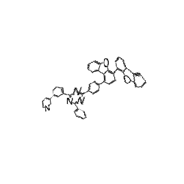 c1ccc(-c2nc(-c3ccc(-c4ccc(-c5cccc6c5oc5ccccc56)c5oc6ccccc6c45)cc3)nc(-c3cccc(-c4cccnc4)c3)n2)cc1